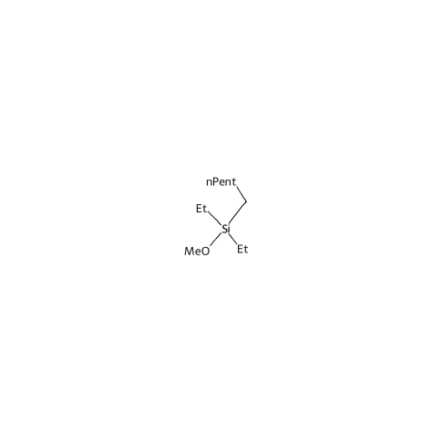 CCCCCC[Si](CC)(CC)OC